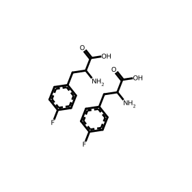 NC(Cc1ccc(F)cc1)C(=O)O.NC(Cc1ccc(F)cc1)C(=O)O